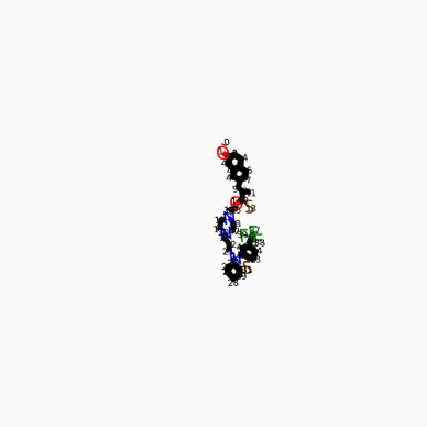 COc1ccc2ccc(CC(C)C(=S)OCCN3CCN(CCCN4c5ccccc5Sc5ccc(C(F)(F)F)cc54)CC3)cc2c1